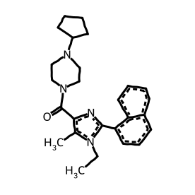 CCn1c(-c2cccc3ccccc23)nc(C(=O)N2CCN(C3CCCC3)CC2)c1C